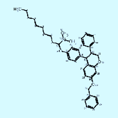 CCCCCCCCCC(Oc1ccc(C2c3ccc(OCc4ccccc4)cc3OCC2c2ccccc2)cc1)N(C)C